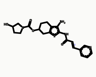 Nc1c(NC(=O)/C=C/c2cccnc2)sc2c1CCC(OC(=O)N1CCC(O)C1)C2